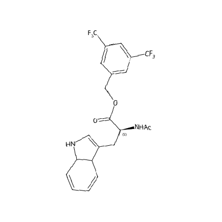 CC(=O)N[C@@H](CC1=CNC2C=CC=CC12)C(=O)OCc1cc(C(F)(F)F)cc(C(F)(F)F)c1